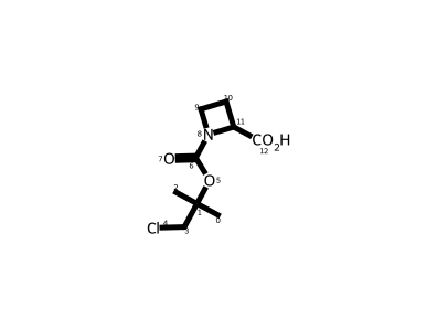 CC(C)(CCl)OC(=O)N1CCC1C(=O)O